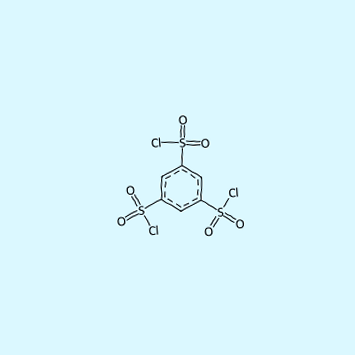 O=S(=O)(Cl)c1cc(S(=O)(=O)Cl)cc(S(=O)(=O)Cl)c1